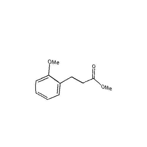 COC(=O)CCc1ccccc1OC